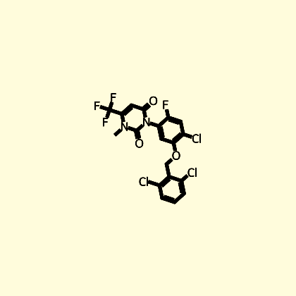 Cn1c(C(F)(F)F)cc(=O)n(-c2cc(OCc3c(Cl)cccc3Cl)c(Cl)cc2F)c1=O